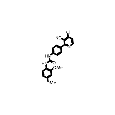 COc1ccc(NC(=O)Nc2ccc(-c3nccc(Cl)c3C#N)cc2)c(OC)c1